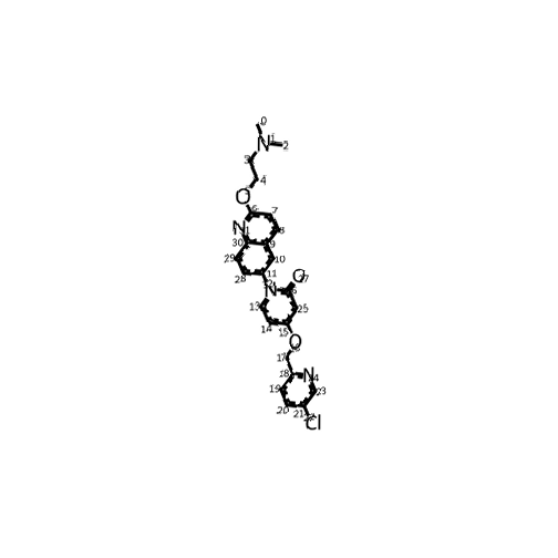 CN(C)CCOc1ccc2cc(-n3ccc(OCc4ccc(Cl)cn4)cc3=O)ccc2n1